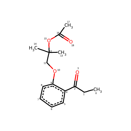 CCC(=O)c1ccccc1OCC(C)(C)OC(C)=O